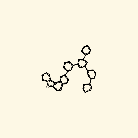 c1ccc(-c2cccc(-c3cc(-c4ccccc4)cc(-c4cccc(-c5ccc6ccc7oc8ccccc8c7c6c5)c4)c3)c2)cc1